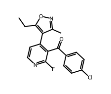 CCc1onc(C)c1-c1ccnc(F)c1C(=O)c1ccc(Cl)cc1